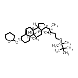 C[C@H](CCCO[Si](C)(C)C(C)(C)C)[C@H]1CC[C@H]2[C@@H]3CC=C4C[C@@H](OC5CCCCO5)CC[C@]4(C)[C@H]3CC[C@]12C